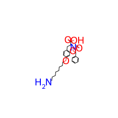 NCCCCCCCCOc1ccc(CC(C(=O)O)N(C=O)OCc2ccccc2)cc1